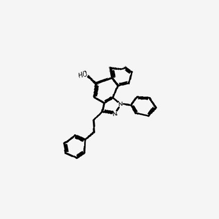 Oc1cc2c(CCc3ccccc3)nn(-c3ccccc3)c2c2ccccc12